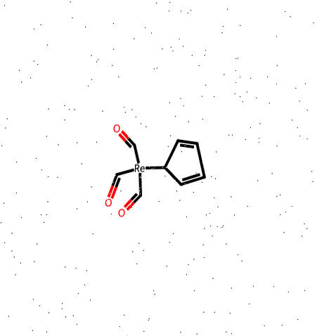 O=[CH][Re]([CH]=O)([CH]=O)[CH]1C=CC=C1